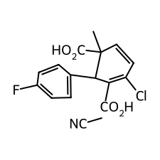 CC#N.CC1(C(=O)O)C=CC(Cl)=C(C(=O)O)C1c1ccc(F)cc1